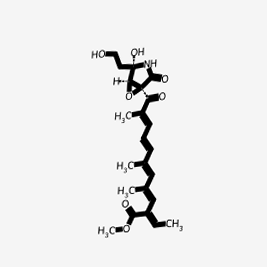 C\C=C(/C=C(C)/C=C(C)/C=C/C=C(\C)C(=O)[C@]12O[C@H]1[C@@](O)(CCO)NC2=O)C(=O)OC